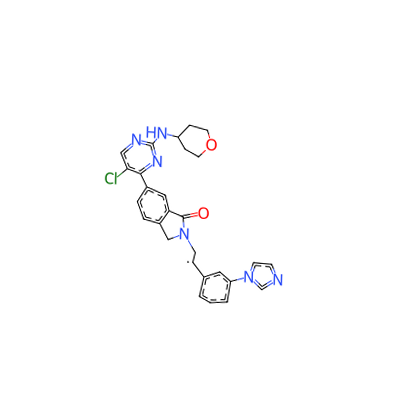 O=C1c2cc(-c3nc(NC4CCOCC4)ncc3Cl)ccc2CN1C[CH]c1cccc(-n2ccnc2)c1